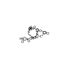 C[C@@H]1[C@@H](C)C/C=C/[C@H](OCC(=O)N2CCNC(=O)C2)[C@@H]2CC[C@H]2CN2CCCCc3cc(Cl)ccc3COc3ccc(cc32)C(=O)NS1(=O)=O